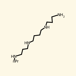 CCCNCCCNCCCCNCCCN